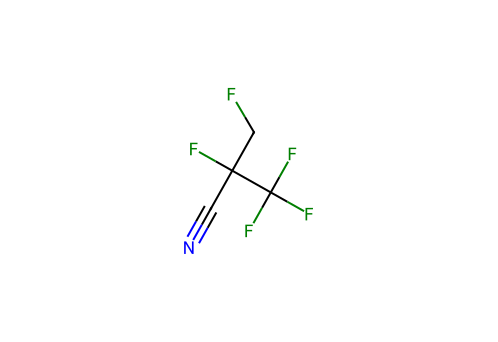 N#CC(F)(CF)C(F)(F)F